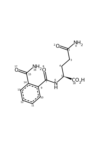 NC(=O)CC[C@H](NC(=O)c1ccccc1C(N)=O)C(=O)O